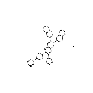 c1ccc(-c2nc3cc(-c4ccc5ccccc5c4)c(-c4ccc5ccccc5c4)cc3nc2-c2ccc(-c3cccnc3)cc2)cc1